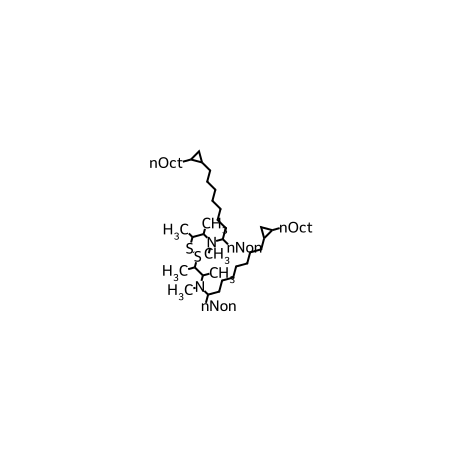 CCCCCCCCCC(CCCCCCCC1CC1CCCCCCCC)N(C)C(C)C(C)SSC(C)C(C)N(C)C(CCCCCCCCC)CCCCCCCC1CC1CCCCCCCC